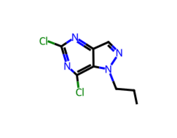 CCCn1ncc2nc(Cl)nc(Cl)c21